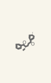 CC[C@@H](CCC(=O)C1=CC[C@@H](C)C=C1)C(=O)c1ccccc1